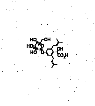 CC(C)=CCc1cc(O[C@@H]2O[C@H](CO)[C@@H](O)[C@H](O)[C@H]2O)cc(CC=C(C)C)c1C(O)C(=O)O